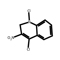 O=[N+]([O-])C1=C(Cl)c2ccccc2N(Cl)C1